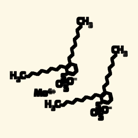 CCCCCCCCCc1cccc(SP([O-])([O-])=S)c1CCCCCCCCC.CCCCCCCCCc1cccc(SP([O-])([O-])=S)c1CCCCCCCCC.[Mo+4]